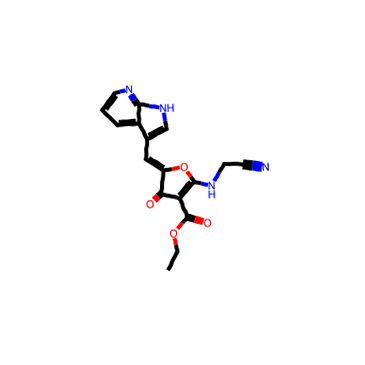 CCOC(=O)C1=C(NCC#N)OC(=Cc2c[nH]c3ncccc23)C1=O